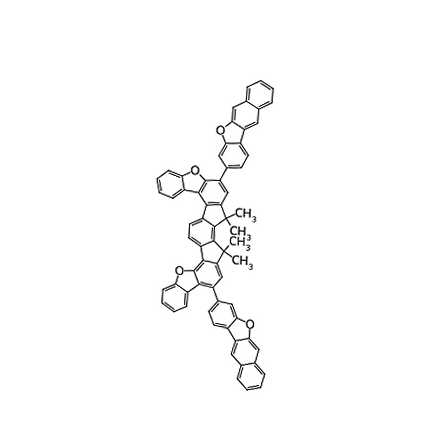 CC1(C)c2cc(-c3ccc4c(c3)oc3cc5ccccc5cc34)c3c(oc4ccccc43)c2-c2ccc3c(c21)C(C)(C)c1cc(-c2ccc4c(c2)oc2cc5ccccc5cc24)c2oc4ccccc4c2c1-3